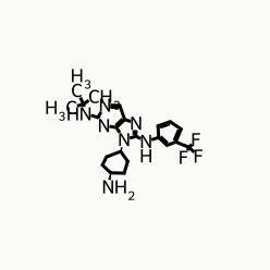 CC(C)(C)Nc1ncc2nc(Nc3cccc(C(F)(F)F)c3)n([C@H]3CC[C@H](N)CC3)c2n1